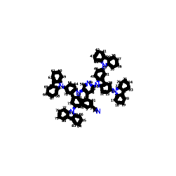 N#Cc1cccc(-c2cc(-n3c4ccc(-n5c6ccccc6c6ccccc65)cc4c4cc(-n5c6ccccc6c6ccccc65)ccc43)ncc2-n2c3ccc(-n4c5ccccc5c5ccccc54)cc3c3cc(-n4c5ccccc5c5ccccc54)ccc32)c1